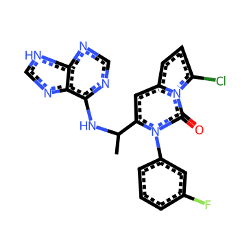 CC(Nc1ncnc2[nH]cnc12)c1cc2ccc(Cl)n2c(=O)n1-c1cccc(F)c1